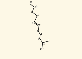 [CH2]C(C)CCCC=CCCCC